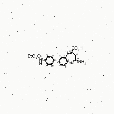 CCOC(=O)Nc1ccc(-c2ccc3c(c2)C=C(C(=O)O)CC(N)=N3)cc1